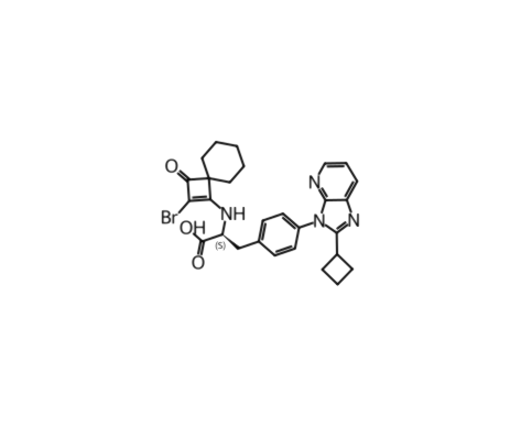 O=C(O)[C@H](Cc1ccc(-n2c(C3CCC3)nc3cccnc32)cc1)NC1=C(Br)C(=O)C12CCCCC2